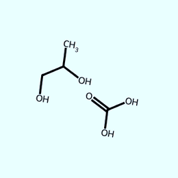 CC(O)CO.O=C(O)O